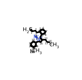 C=CCCc1ccccc1C1=C(CCCC)C=C(c2cccc(C)c2)[N+]1=[N-].[Ni]